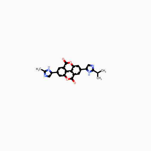 Cc1ncc(-c2cc3oc(=O)c4cc(-c5cnc(C(C)C)[nH]5)cc5oc(=O)c(c2)c3c54)[nH]1